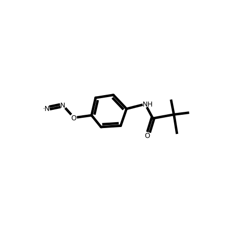 CC(C)(C)C(=O)Nc1ccc(ON=[N])cc1